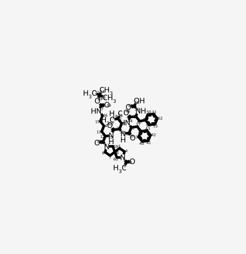 CC(=O)N1CCC2(CCN(C(=O)C(CCCCNC(=O)OC(C)(C)C)NC(=O)C(CC(C)C)NC(=O)C(Cc3ccccc3)NC(=O)C(Cc3ccccc3)NC(=O)O)C2)C1